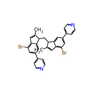 CC1=Cc2c(Br)cc(-c3ccncc3)cc2C1CC1C(C)=Cc2c(Br)cc(-c3ccncc3)cc21